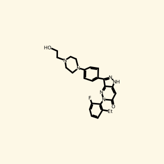 CCc1cccc(F)c1-n1nc2c(-c3ccc(N4CCN(CCO)CC4)cc3)n[nH]c2cc1=O